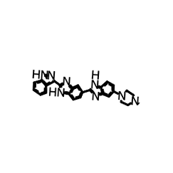 CN1CCN(c2ccc3[nH]c(-c4ccc5[nH]c(-c6n[nH]c7ccccc67)nc5c4)nc3c2)CC1